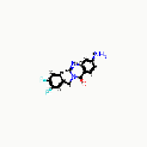 Nc1ccc2c(=O)n(Cc3ccc(F)c(F)c3)cnc2c1